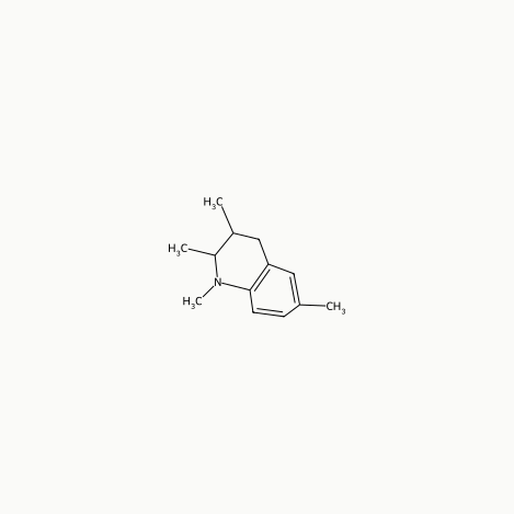 Cc1ccc2c(c1)CC(C)C(C)N2C